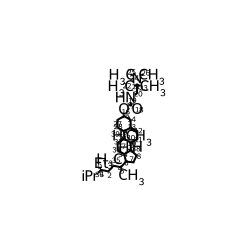 CC[C@H](CC[C@@H](C)C1CC[C@H]2[C@@H]3CC=C4C[C@@H](OC(=O)NCC(C)(C)N(C)C)CC[C@]4(C)[C@H]3CC[C@]12C)C(C)C